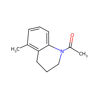 CC(=O)N1CCCc2c(C)cccc21